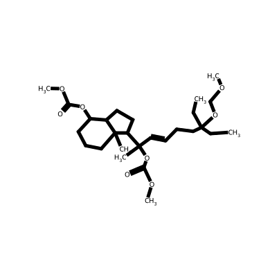 CCC(CC)(CC/C=C/C(C)(OC(=O)OC)C1CCC2C(OC(=O)OC)CCCC21C)OCOC